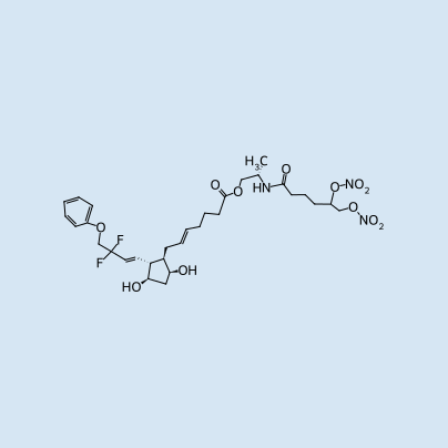 C[C@@H](COC(=O)CCCC=CC[C@@H]1[C@@H](C=CC(F)(F)COc2ccccc2)[C@H](O)C[C@@H]1O)NC(=O)CCCC(CO[N+](=O)[O-])O[N+](=O)[O-]